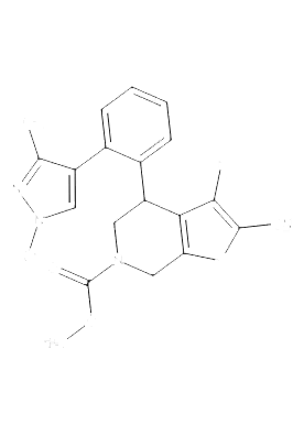 CCn1cc(-c2ccccc2C2CN(C(=O)OC(C)(C)C)Cc3sc(C#N)c(F)c32)c(C(F)(F)F)n1